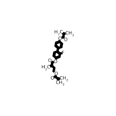 C=C(C)C(=O)OCCC(=C)C(=O)Oc1ccc(-c2ccc(OC(=O)C(=C)C)cc2)c(F)c1